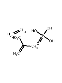 C=C.C=C(C)C(=O)O.O=P(O)(O)O